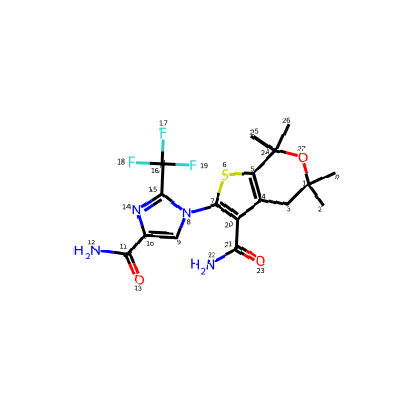 CC1(C)Cc2c(sc(-n3cc(C(N)=O)nc3C(F)(F)F)c2C(N)=O)C(C)(C)O1